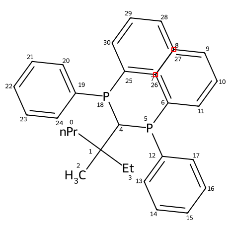 CCCC(C)(CC)C(P(c1ccccc1)c1ccccc1)P(c1ccccc1)c1ccccc1